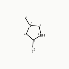 CCC1BCN(C)C1